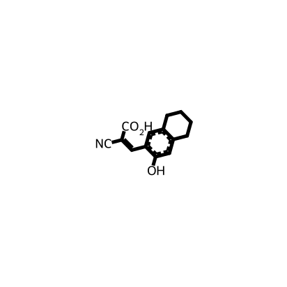 N#CC(=Cc1cc2c(cc1O)CCCC2)C(=O)O